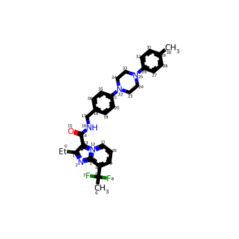 CCc1nc2c(C(C)(F)F)cccn2c1C(=O)NCc1ccc(N2CCN(c3ccc(C)cc3)CC2)cc1